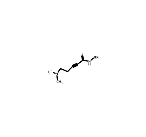 CN(C)CCC#CC(=O)NC(C)(C)C